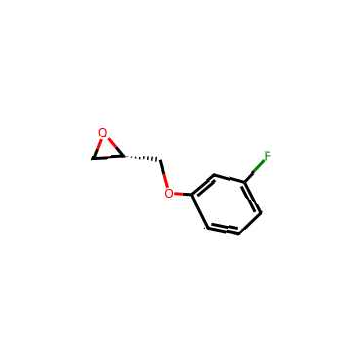 Fc1cc[c]c(OC[C@@H]2CO2)c1